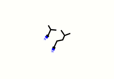 CC(C)C#N.CC(C)CCC#N